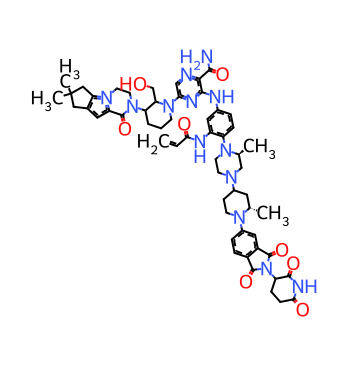 C=CC(=O)Nc1cc(Nc2nc(N3CCCC(N4CCn5c(cc6c5CC(C)(C)C6)C4=O)C3CO)cnc2C(N)=O)ccc1N1CCN(C2CCN(c3ccc4c(c3)C(=O)N(C3CCC(=O)NC3=O)C4=O)[C@@H](C)C2)C[C@@H]1C